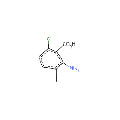 Cc1ccc(Cl)c(C(=O)O)c1N